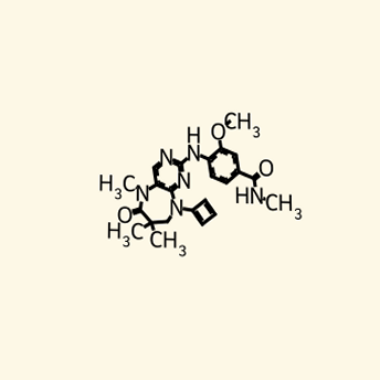 CNC(=O)c1ccc(Nc2ncc3c(n2)N(C2=CC=C2)CC(C)(C)C(=O)N3C)c(OC)c1